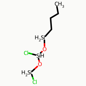 CCCC[SiH2]O[SiH](Cl)O[SiH2]Cl